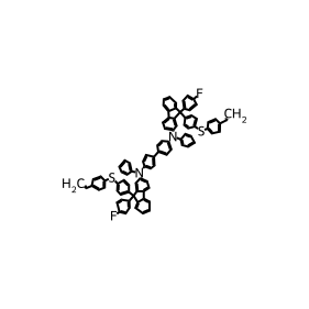 C=Cc1ccc(Sc2ccc(C3(c4ccc(F)cc4)c4ccccc4-c4ccc(N(c5ccccc5)c5ccc(-c6ccc(N(c7ccccc7)c7ccc8c(c7)C(c7ccc(F)cc7)(c7ccc(Sc9ccc(C=C)cc9)cc7)c7ccccc7-8)cc6)cc5)cc43)cc2)cc1